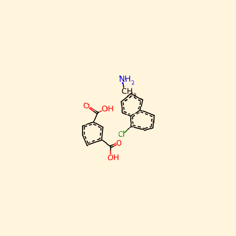 CN.Clc1cccc2ccccc12.O=C(O)c1cccc(C(=O)O)c1